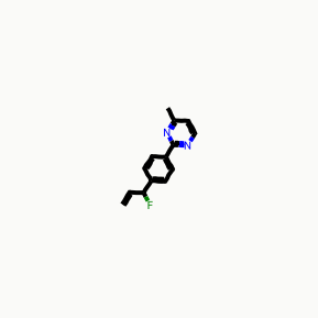 C=CC(F)c1ccc(-c2nccc(C)n2)cc1